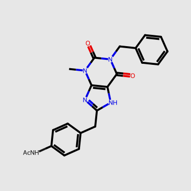 CC(=O)Nc1ccc(Cc2nc3c([nH]2)c(=O)n(Cc2ccccc2)c(=O)n3C)cc1